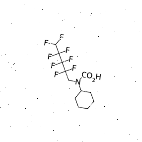 O=C(O)N(CC(F)(F)C(F)(F)C(F)(F)C(F)F)C1CCCCC1